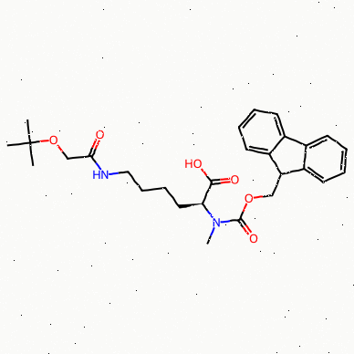 CN(C(=O)OCC1c2ccccc2-c2ccccc21)[C@@H](CCCCNC(=O)COC(C)(C)C)C(=O)O